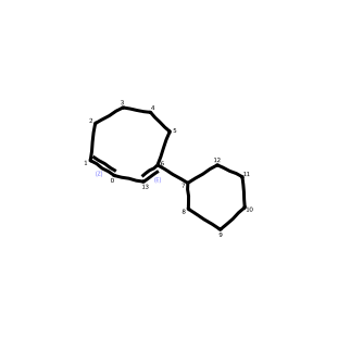 C1=C\CCCC\C(C2CCCCC2)=C/1